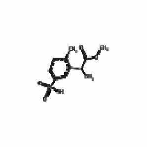 COC(=O)C(C)c1cc(S(=O)(=O)S)ccc1C